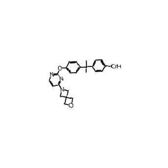 CC(C)(c1ccc(O)cc1)c1ccc(Oc2nccc(N3CC4(COC4)C3)n2)cc1